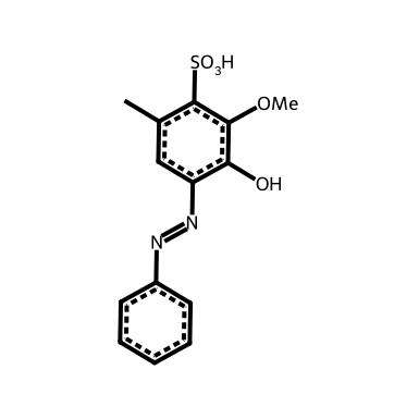 COc1c(O)c(N=Nc2ccccc2)cc(C)c1S(=O)(=O)O